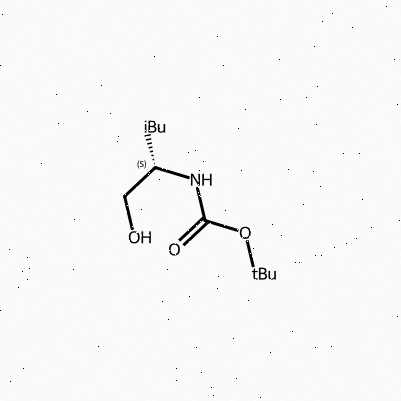 CCC(C)[C@@H](CO)NC(=O)OC(C)(C)C